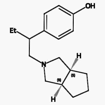 CCC(CN1C[C@H]2CCC[C@H]2C1)c1ccc(O)cc1